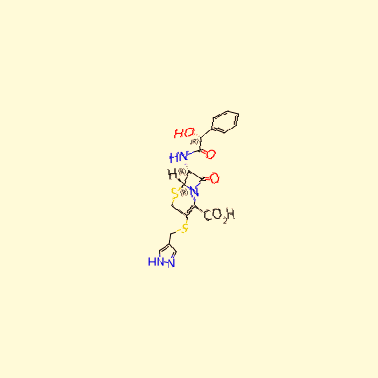 O=C(O)C1=C(SCc2cn[nH]c2)CS[C@@H]2[C@H](NC(=O)[C@H](O)c3ccccc3)C(=O)N12